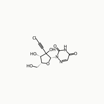 O=c1cnn([C@@H]2O[C@H](CO)[C@H](O)C2(O)C#CCl)c(=O)[nH]1